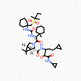 CCC(C)(C)S(=O)(=O)CC1(NC(=O)N[C@H](C(=O)N2C[C@H]3[C@@H]([C@H]2C(=O)NC(CCC2CC2)C(=O)C(=O)NC2CC2)C3(C)C)C2(C)CCCCC2)CCCCC1